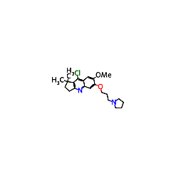 COc1cc2c(Cl)c3c(nc2cc1OCCCN1CCCC1)CCC3(C)C